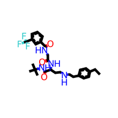 CCc1ccc(CCNCCC(NC(=O)CNC(=O)c2cccc(C(F)(F)F)c2)C(=O)NC(C)(C)C)cc1